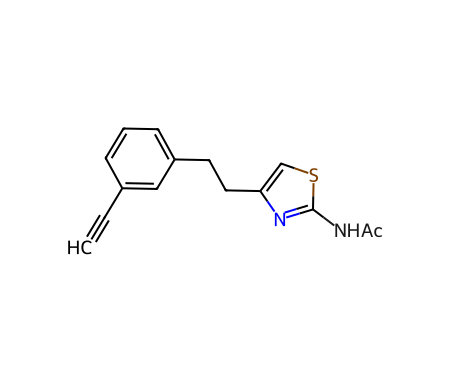 C#Cc1cccc(CCc2csc(NC(C)=O)n2)c1